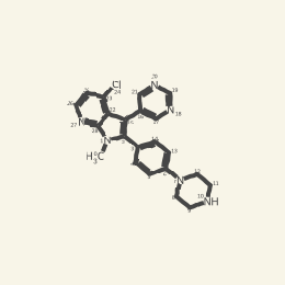 Cn1c(-c2ccc(N3CCNCC3)cc2)c(-c2cncnc2)c2c(Cl)ccnc21